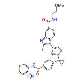 COCCNC(=O)c1ccn2c(-c3csc(C4(c5ccc(C(=O)Nc6ccccc6N)cc5)CC4)n3)c(C)nc2c1